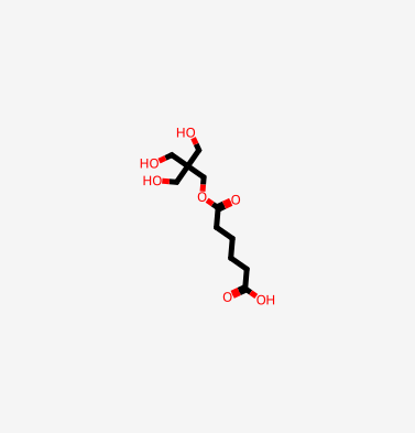 O=C(O)CCCCC(=O)OCC(CO)(CO)CO